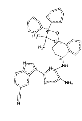 CC(C)(C)[Si](OC1CC[C@@H](Nc2nc(-n3cnc4ccc(C#N)cc43)ncc2N)c2ccccc21)(c1ccccc1)c1ccccc1